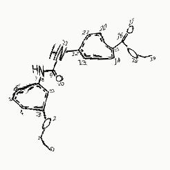 CCOc1cccc(NC(=O)Nc2ccc(C(=O)OC)cc2)c1